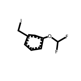 FC(F)Oc1cccc(CI)c1